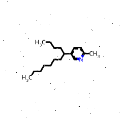 CCCCCCCC(CCCC)c1ccc(C)nc1